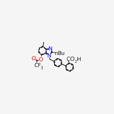 CCCCc1nc2c(C)ccc(OC(=O)C(F)(F)F)c2n1Cc1ccc(-c2ccccc2C(=O)O)cc1